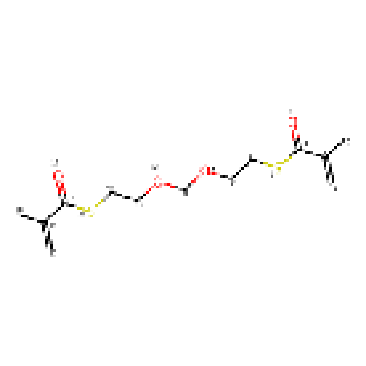 C=C(C)C(=O)SCCOCOCCSC(=O)C(=C)C